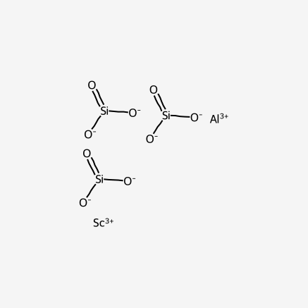 O=[Si]([O-])[O-].O=[Si]([O-])[O-].O=[Si]([O-])[O-].[Al+3].[Sc+3]